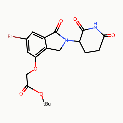 CC(C)(C)OC(=O)COc1cc(Br)cc2c1CN(C1CCC(=O)NC1=O)C2=O